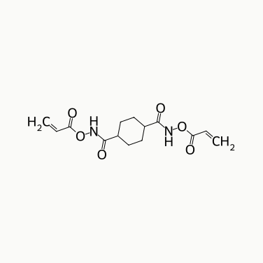 C=CC(=O)ONC(=O)C1CCC(C(=O)NOC(=O)C=C)CC1